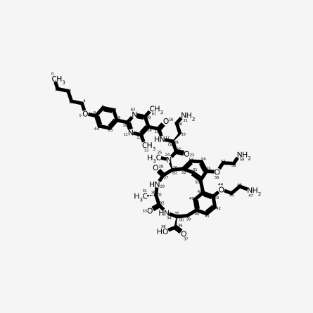 CCCCCOc1ccc(-c2nc(C)c(C(=O)N[C@@H](CCN)C(=O)N(C)[C@@H]3C(=O)N[C@@H](C)C(=O)N[C@H](C(=O)O)Cc4ccc(OCCN)c(c4)-c4cc3ccc4OCCN)c(C)n2)cc1